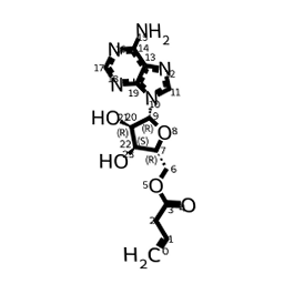 C=CCC(=O)OC[C@H]1O[C@@H](n2cnc3c(N)ncnc32)[C@H](O)[C@@H]1O